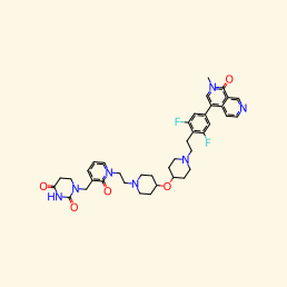 Cn1cc(-c2cc(F)c(CCN3CCC(OC4CCN(CCn5cccc(CN6CCC(=O)NC6=O)c5=O)CC4)CC3)c(F)c2)c2ccncc2c1=O